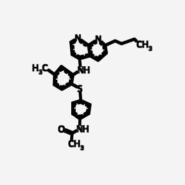 CCCCc1ccc2c(Nc3cc(C)ccc3Sc3ccc(NC(C)=O)cc3)ccnc2n1